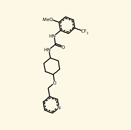 COc1ccc(C(F)(F)F)cc1NC(=O)NC1CCC(OCc2cccnc2)CC1